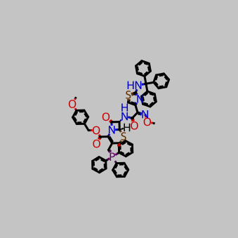 CO/N=C(\C(=O)N[C@@H]1C(=O)N2C(C(=O)OCc3ccc(OC)cc3)=C(C=P(c3ccccc3)(c3ccccc3)c3ccccc3)CS[C@@H]12)c1csc(NC(c2ccccc2)(c2ccccc2)c2ccccc2)n1